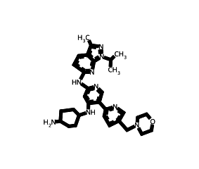 Cc1nn(C(C)C)c2nc(Nc3cc(NC4CCC(N)CC4)c(-c4ccc(CN5CCOCC5)cn4)cn3)ccc12